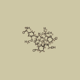 COc1cc(C(N)=O)ccc1N1CN2[C@@H](CC(C)(C)C)C3(C(=O)N(CO)c4cc(Cl)ncc43)[C@@H](c3cccc(Cl)c3F)[C@@H]2C1=O